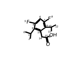 CC(C)c1c(F)cc(F)c(C(C)C)c1CC(=O)O